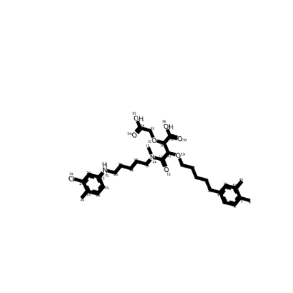 Cc1ccc(CCCCCOC(C(=O)N(C)CCCCCNc2ccc(C)c(Cl)c2)C(OCC(=O)O)C(=O)O)cc1C